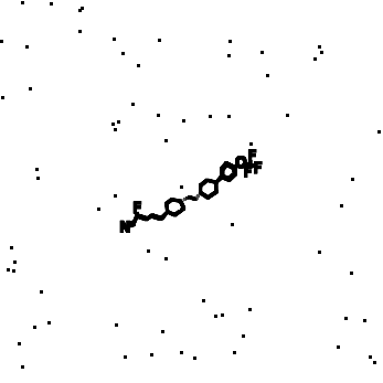 N#C/C(F)=C/C=C/[C@H]1CC[C@H](CC[C@H]2CC[C@H](c3ccc(OC(F)(F)F)cc3)CC2)CC1